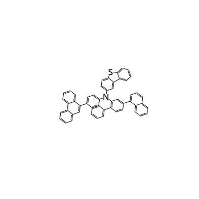 c1ccc(-c2ccc(-c3cccc4ccccc34)cc2N(c2ccc(-c3cc4ccccc4c4ccccc34)cc2)c2ccc3sc4ccccc4c3c2)cc1